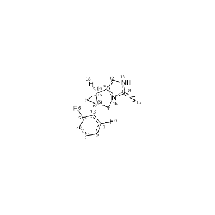 Fc1cccc(F)c1[C@]12C[C@H]1c1c[nH]c(=S)n1C2